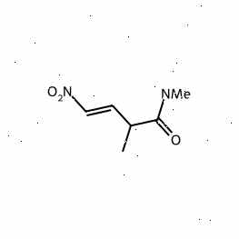 CNC(=O)C(C)C=C[N+](=O)[O-]